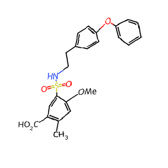 COc1cc(C)c(C(=O)O)cc1S(=O)(=O)NCCc1ccc(Oc2ccccc2)cc1